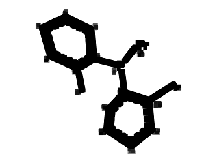 Cc1ccccc1P(c1ccccc1C)C(C)C